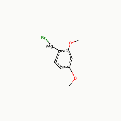 COc1cc[c]([Mg][Br])c(OC)c1